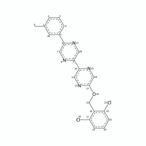 Cc1cccc(-c2cnc(-c3cnc(OCc4c(Cl)cccc4Cl)cn3)[c]n2)c1